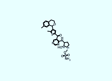 Cc1ccc2c(c1)C(c1cc(C(=O)c3cncnc3NC3CC[C@H](COS(N)(=O)=O)[C@H]3O)sc1C)OCC2